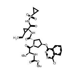 C=CC1C[C@]1(NC(=O)[C@@H]1C[C@@H](Oc2nnc(Cl)c3ccccc23)CN1C(=O)[C@@H](NC(=O)OC(C)(C)C)C(C)(C)C)C(=O)NS(=O)(=O)C1CC1